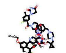 COCOc1cc(-c2ncc3c(N4CC5CCC(C4)N5C(=O)OC(C)(C)C)nc(OCC4(CN5CCN(CC6CCC7(CC6)CCN(C(=O)c6cc(N8CCC(=O)NC8=O)c(C)cc6F)CC7)CC5)CC4)nc3c2F)c2c(C#C[Si](C(C)C)(C(C)C)C(C)C)c(F)ccc2c1